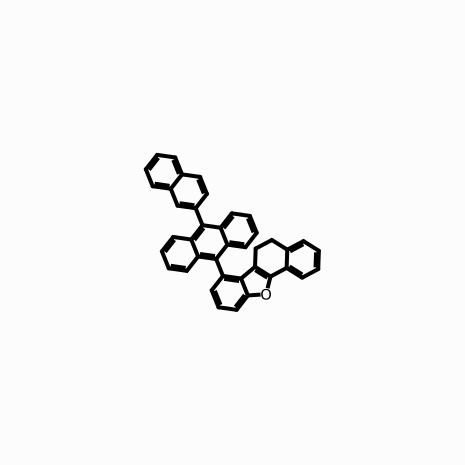 c1ccc2c(c1)CCc1c-2oc2cccc(-c3c4ccccc4c(-c4ccc5ccccc5c4)c4ccccc34)c12